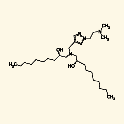 CCCCCCCC[C@@H](O)CN(Cc1cnn(CCN(C)C)c1)C[C@H](O)CCCCCCCC